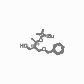 C[C@@H](O[Si](C)(C)C(C)(C)C)[C@H](CO)COCc1ccccc1